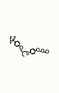 CCC(COc1ccc(C(F)(F)F)cc1)CSc1ccc(OCOC=O)cc1